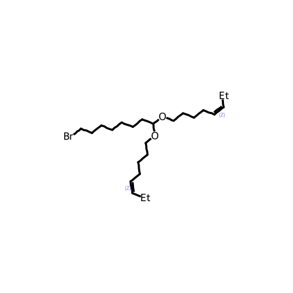 CC/C=C\CCCCOC(CCCCCCCBr)OCCCC/C=C\CC